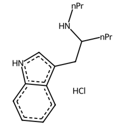 CCCNC(CCC)Cc1c[nH]c2ccccc12.Cl